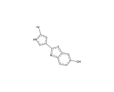 Oc1ccc2nc(-c3c[nH]c([18F])c3)sc2c1